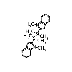 Cn1c([Si](C)(C)[Si](C)(C)c2cc3ccccc3n2C)cc2ccccc21